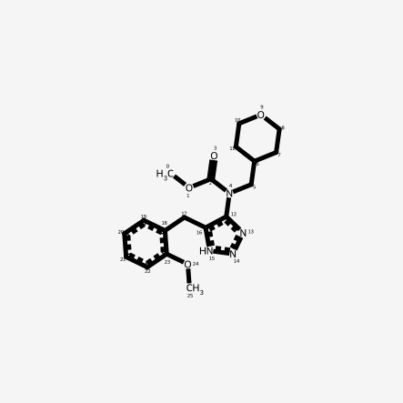 COC(=O)N(CC1CCOCC1)c1nn[nH]c1Cc1ccccc1OC